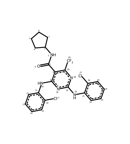 O=C(NC1CCCC1)c1c(Nc2ccccc2Cl)nc(Nc2ccccc2Cl)nc1C(F)(F)F